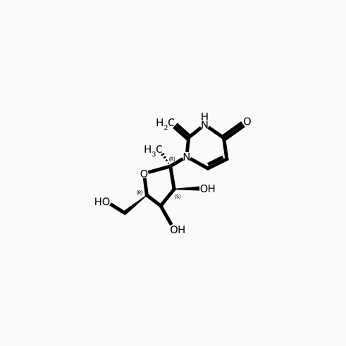 C=C1NC(=O)C=CN1[C@]1(C)O[C@H](CO)C(O)[C@@H]1O